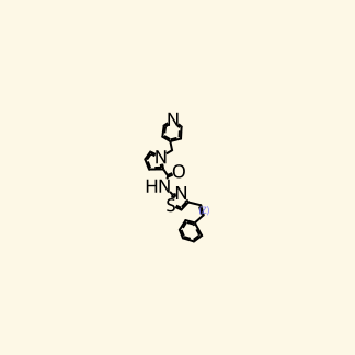 O=C(Nc1nc(/C=C\c2ccccc2)cs1)c1cccn1Cc1ccncc1